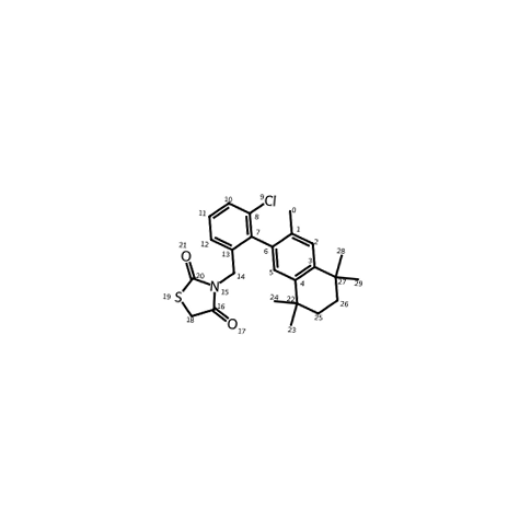 Cc1cc2c(cc1-c1c(Cl)cccc1CN1C(=O)CSC1=O)C(C)(C)CCC2(C)C